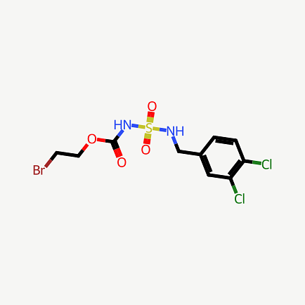 O=C(NS(=O)(=O)NCc1ccc(Cl)c(Cl)c1)OCCBr